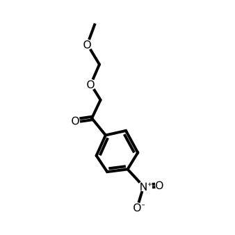 COCOCC(=O)c1ccc([N+](=O)[O-])cc1